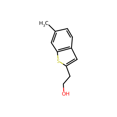 Cc1ccc2cc(CCO)sc2c1